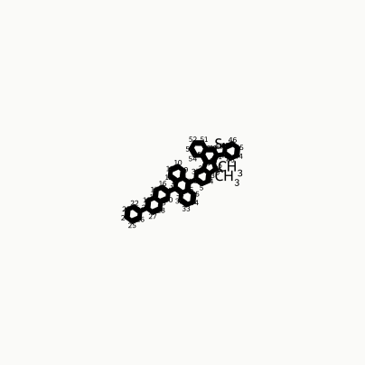 CC1(C)c2ccc(-c3c4ccccc4c(-c4ccc5cc(-c6ccccc6)ccc5c4)c4ccccc34)cc2-c2c1c1c3ccccc3sc1c1ccccc21